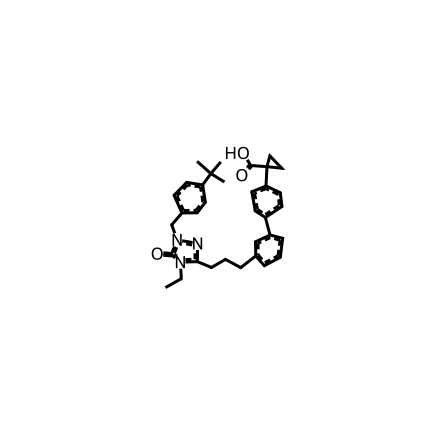 CCn1c(CCCc2cccc(-c3ccc(C4(C(=O)O)CC4)cc3)c2)nn(Cc2ccc(C(C)(C)C)cc2)c1=O